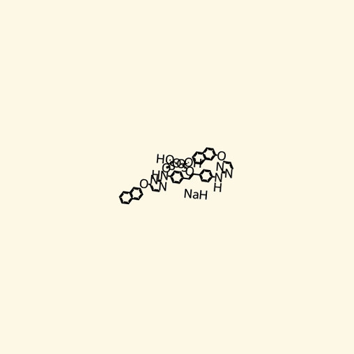 O=S(=O)(O)c1c(C=Cc2ccc(Nc3nccc(Oc4ccc5ccccc5c4)n3)cc2)ccc(Nc2nccc(Oc3ccc4ccccc4c3)n2)c1S(=O)(=O)O.[NaH]